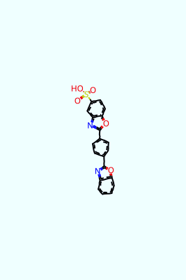 O=S(=O)(O)c1ccc2oc(-c3ccc(-c4nc5ccccc5o4)cc3)nc2c1